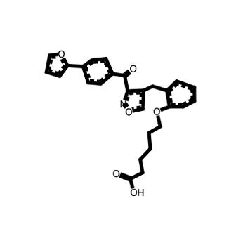 O=C(O)CCCCCOc1ccccc1Cc1conc1C(=O)c1ccc(-c2ccco2)cc1